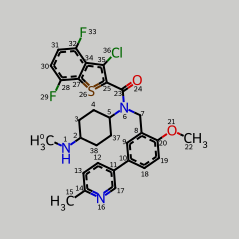 CNC1CCC(N(Cc2cc(-c3ccc(C)nc3)ccc2OC)C(=O)c2sc3c(F)ccc(F)c3c2Cl)CC1